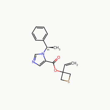 C=CC1(OC(=O)c2cncn2[C@H](C)c2ccccc2)CSC1